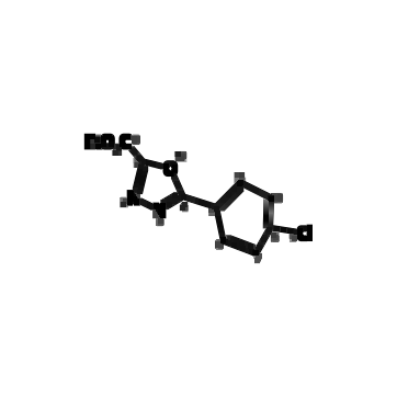 CCOC(=O)c1nnc(-c2ccc(Cl)cc2)o1